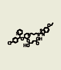 CCOc1ccc2nc(SCCCN3CCC(OC(c4ccc(Cl)cc4)c4ccccn4)CC3)sc2c1.O=C(O)C=CC(=O)O